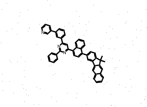 CC1(C)c2ccc(-c3ccc(-c4cc(-c5cccc(-c6cccnc6)c5)nc(-c5ccccc5)n4)c4ccccc34)cc2-c2cc3ccccc3cc21